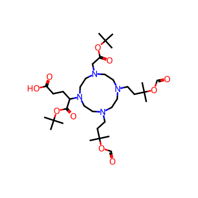 CC(C)(C)OC(=O)CN1CCN(CCC(C)(C)OC=O)CCN(CCC(C)(C)OC=O)CCN(C(CCC(=O)O)C(=O)OC(C)(C)C)CC1